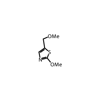 COCc1cnc(OC)s1